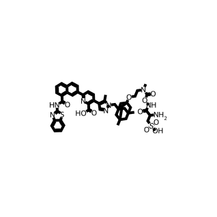 Cc1c(-c2ccc(-c3ccc4cccc(C(=O)Nc5nc6ccccc6s5)c4c3)nc2C(=O)O)cnn1CC12CC3(C)CC(C)(C1)CC(OCCN(C)C(=O)ONC(=O)C(N)CS(=O)(=O)O)(C3)C2